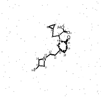 O=C(O)C(CC1CC1)n1cc(CCN2CC(F)C2)ccc1=O